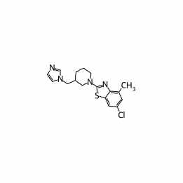 Cc1cc(Cl)cc2sc(N3CCCC(Cn4ccnc4)C3)nc12